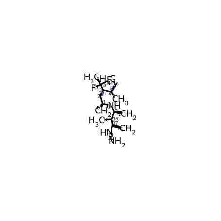 C=C(/C=C(\C(C)=C/C)C(C)(F)F)NC(=C)C(C)C(=C)NN